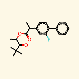 CC(OC(=O)C(C)c1ccc(-c2ccccc2)c(F)c1)C(=O)C(C)(C)C